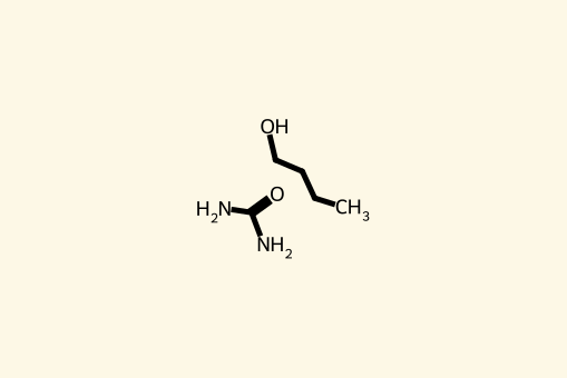 CCCCO.NC(N)=O